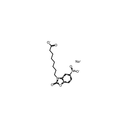 O=C([O-])CCCCCCCn1c(=O)oc2ccc([N+](=O)[O-])cc21.[Na+]